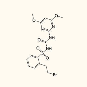 COc1cc(OC)nc(NC(=O)NS(=O)(=O)c2ccccc2CCBr)n1